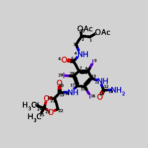 CC(=O)OCC(CNC(=O)c1c(I)c(NC(N)=O)c(I)c(NC(=O)C2COC(C)(C)O2)c1I)OC(C)=O